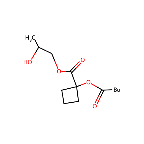 CCC(C)C(=O)OC1(C(=O)OCC(C)O)CCC1